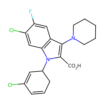 O=C(O)c1c(N2CCCCC2)c2cc(F)c(Cl)cc2n1C1C=C(Cl)C=CC1